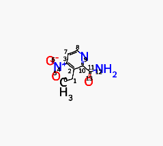 CCc1c([N+](=O)[O-])ccnc1C(N)=O